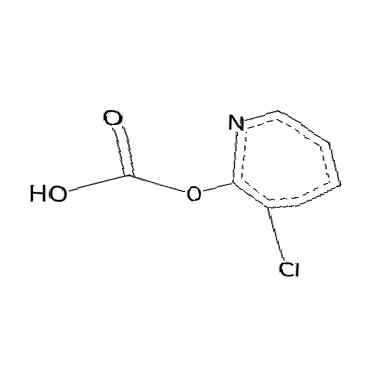 O=C(O)Oc1ncccc1Cl